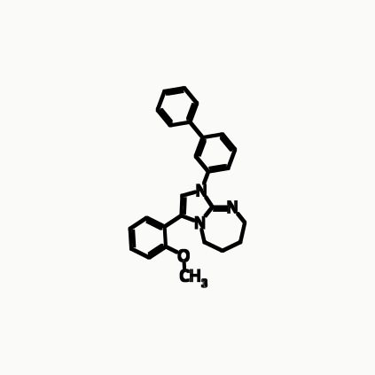 COc1ccccc1C1=CN(c2cccc(-c3ccccc3)c2)C2=NCCCCN12